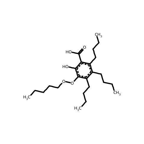 CCCCCOOc1c(O)c(C(=O)O)c(CCCC)c(CCCC)c1CCCC